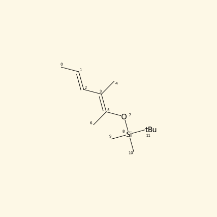 C/C=C/C(C)=C(\C)O[Si](C)(C)C(C)(C)C